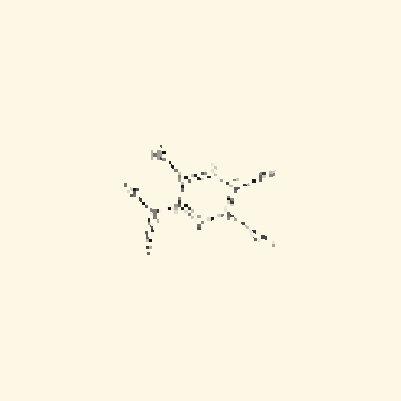 Cc1cc([N+](=O)[O-])c(O)cc1F